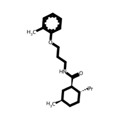 Cc1ccccc1OCCCNC(=O)[C@@H]1C[C@H](C)CC[C@H]1C(C)C